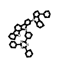 c1ccc(-c2nc(-c3ccccc3)nc(-c3cccc(-n4c5cc(-n6c7ccccc7c7c(-c8ccccc8)cccc76)ccc5c5ccc6c7ccccc7oc6c54)c3)n2)cc1